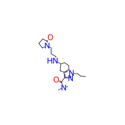 CCCn1nc(C(=O)N(C)C)c2c1CCC(NCCCN1CCCC1=O)C2